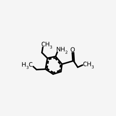 CCC(=O)c1ccc(CC)c(CC)c1N